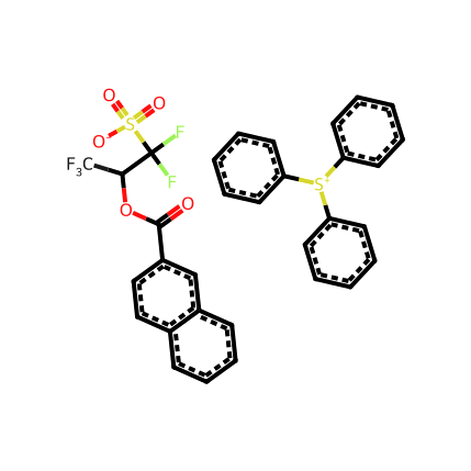 O=C(OC(C(F)(F)F)C(F)(F)S(=O)(=O)[O-])c1ccc2ccccc2c1.c1ccc([S+](c2ccccc2)c2ccccc2)cc1